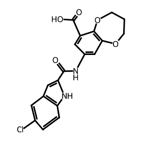 O=C(Nc1cc2c(c(C(=O)O)c1)OCCCO2)c1cc2cc(Cl)ccc2[nH]1